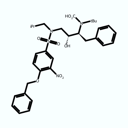 CC(C)CN(C[C@@H](O)[C@H](Cc1ccccc1)N(C(=O)O)C(C)(C)C)S(=O)(=O)c1ccc(OCc2ccccc2)c([N+](=O)[O-])c1